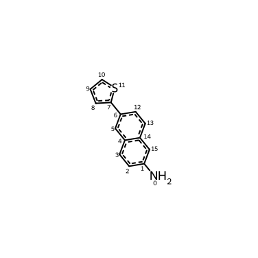 Nc1ccc2cc(-c3cccs3)ccc2c1